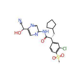 CS(=O)(=O)c1ccc([C@@H](CC2CCCC2)C(=O)Nc2cnc(C(O)C#N)cn2)cc1Cl